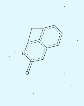 O=c1cc2cccc3c2c(o1)C3